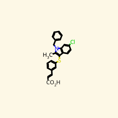 Cc1c(Sc2cccc(C=CC(=O)O)c2)c2ccc(Cl)cc2n1Cc1ccccc1